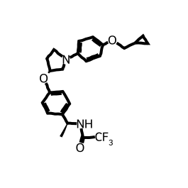 C[C@H](NC(=O)C(F)(F)F)c1ccc(O[C@@H]2CCN(c3ccc(OCC4CC4)cc3)C2)cc1